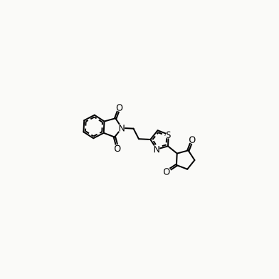 O=C1CCC(=O)C1c1nc(CCN2C(=O)c3ccccc3C2=O)cs1